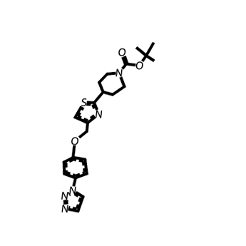 CC(C)(C)OC(=O)N1CCC(c2nc(COc3ccc(-n4ccnn4)cc3)cs2)CC1